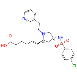 O=C(O)CCCC=C[C@@H]1C[C@@H](NS(=O)(=O)c2ccc(Cl)cc2)CN1CCc1cccnc1